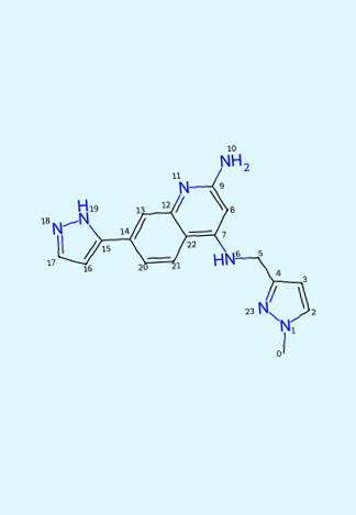 Cn1ccc(CNc2cc(N)nc3cc(-c4ccn[nH]4)ccc23)n1